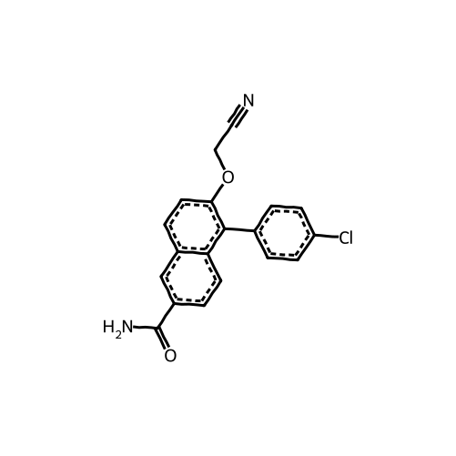 N#CCOc1ccc2cc(C(N)=O)ccc2c1-c1ccc(Cl)cc1